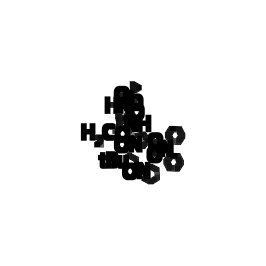 C=CC1CC1(NC(=O)[C@@H]1C[C@@H](OC(=O)N(c2ccccc2)c2ccccc2)CN1C(=O)[C@@H](CC(=O)N1CCCCC1)C(C)(C)C)C(=O)NS(=O)(=O)C1CC1